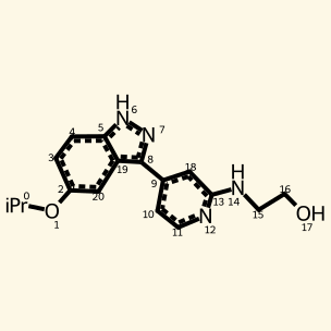 CC(C)Oc1ccc2[nH]nc(-c3ccnc(NCCO)c3)c2c1